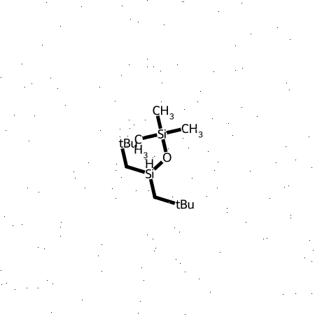 CC(C)(C)C[SiH](CC(C)(C)C)O[Si](C)(C)C